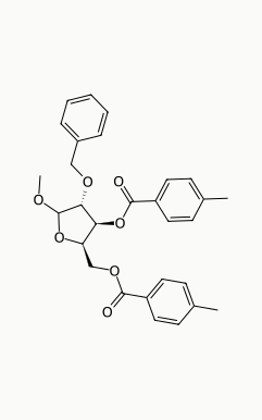 COC1O[C@H](COC(=O)c2ccc(C)cc2)[C@H](OC(=O)c2ccc(C)cc2)[C@H]1OCc1ccccc1